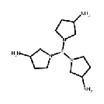 NC1CCN(P(N2CCC(N)C2)N2CCC(N)C2)C1